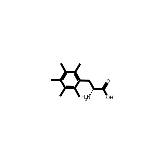 Cc1c(C)c(C)c(C[C@@H](N)C(=O)O)c(C)c1C